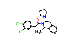 CC1c2ccccc2CC(N2CCCC2)N1C(=O)Cc1ccc(Cl)c(Cl)c1